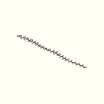 CCCCCCCCCCCCCCCCOCCOCCOCCOCCOCCOCCOCCOCCO